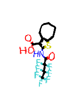 O=C(O)c1c(NC(=O)C(F)(F)C(F)(F)C(F)(F)F)sc2c1CCCCC2